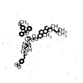 COc1ccc(C(OC[C@@H]2C[C@@H](OC(=O)OC3CC[C@@]4(C)C(=CCC5C4CC[C@@]4(C)C5CC[C@@H]4[C@H](C)CCCC(C)C)C3)[C@H](n3cnc4c(NC(=O)OCCc5ccc([N+](=O)[O-])cc5)ncnc43)O2)(c2ccccc2)c2ccccc2)cc1